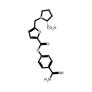 N=C(N)c1ccc(OC(=O)c2ccc(CN3CCC[C@@H]3C(=O)O)o2)cc1